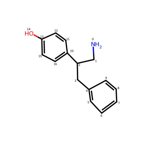 NCC(Cc1ccccc1)c1ccc(O)cc1